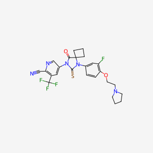 N#Cc1ncc(N2C(=O)C3(CCC3)N(c3ccc(OCCN4CCCC4)c(F)c3)C2=S)cc1C(F)(F)F